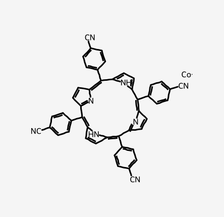 N#Cc1ccc(-c2c3nc(c(-c4ccc(C#N)cc4)c4ccc([nH]4)c(-c4ccc(C#N)cc4)c4nc(c(-c5ccc(C#N)cc5)c5ccc2[nH]5)C=C4)C=C3)cc1.[Co]